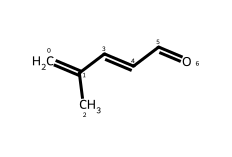 C=C(C)C=CC=O